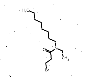 CCCCCCCCN(CC)C(=O)CCBr